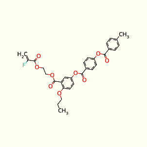 C=C(F)C(=O)OCCOC(=O)c1cc(OC(=O)c2ccc(OC(=O)c3ccc(C)cc3)cc2)ccc1OCCC